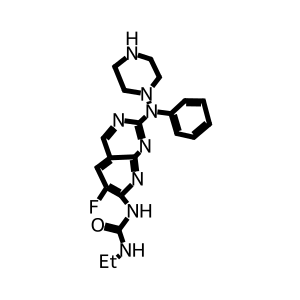 CCNC(=O)Nc1nc2nc(N(c3ccccc3)N3CCNCC3)ncc2cc1F